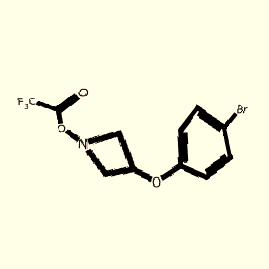 O=C(ON1CC(Oc2ccc(Br)cc2)C1)C(F)(F)F